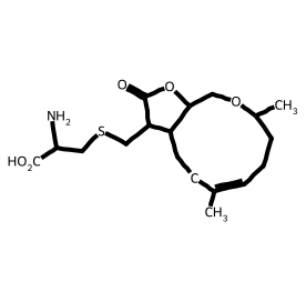 CC1=CCCC(C)OCC2OC(=O)C(CSCC(N)C(=O)O)C2CC1